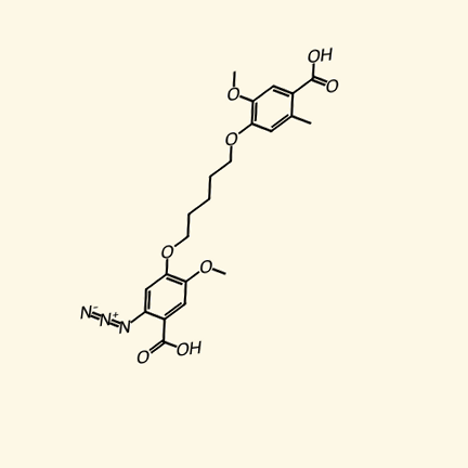 COc1cc(C(=O)O)c(C)cc1OCCCCCOc1cc(N=[N+]=[N-])c(C(=O)O)cc1OC